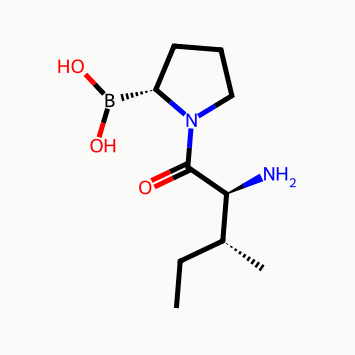 CC[C@@H](C)[C@H](N)C(=O)N1CCC[C@H]1B(O)O